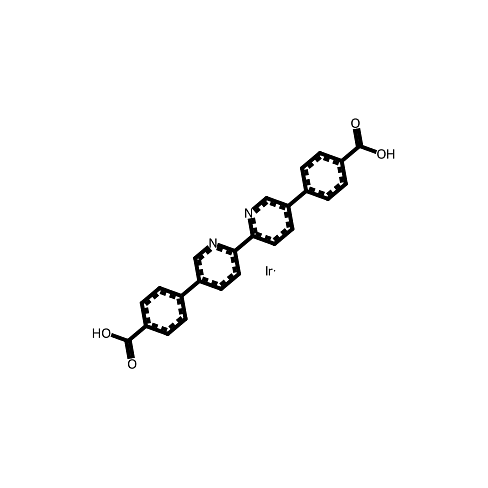 O=C(O)c1ccc(-c2ccc(-c3ccc(-c4ccc(C(=O)O)cc4)cn3)nc2)cc1.[Ir]